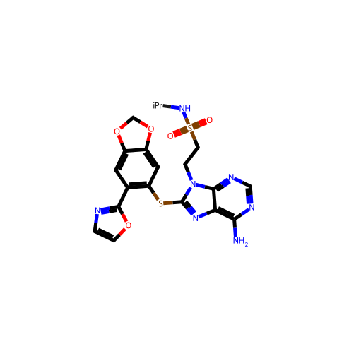 CC(C)NS(=O)(=O)CCn1c(Sc2cc3c(cc2-c2ncco2)OCO3)nc2c(N)ncnc21